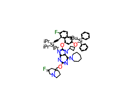 CC(C)[Si](C#Cc1c(F)ccc2cc(O[Si](c3ccccc3)(c3ccccc3)C(C)(C)C)cc(Oc3nc4nc(OC[C@@]56CCCN5C[C@H](F)C6)nc(N5CCCCCC5)c4n3C3CCC3)c12)(C(C)C)C(C)C